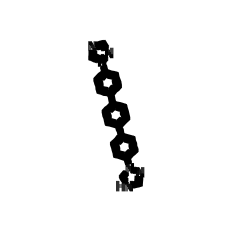 C1=NN(c2ccc(-c3ccc(-c4ccc(-n5cncn5)cc4)cc3)cc2)CN1